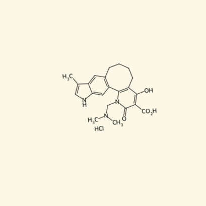 Cc1c[nH]c2cc3c(cc12)CCCCc1c(O)c(C(=O)O)c(=O)n(CN(C)C)c1-3.Cl